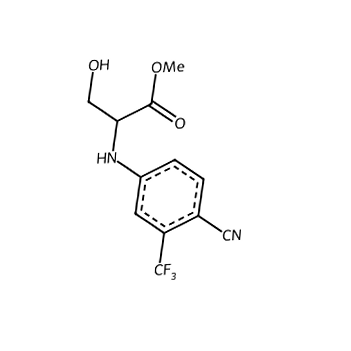 COC(=O)C(CO)Nc1ccc(C#N)c(C(F)(F)F)c1